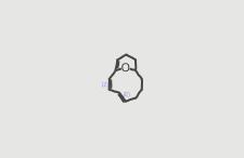 C1=C2/C=C\C=C\CCCC(CC1)O2